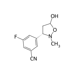 CN1OC(O)C[C@H]1c1cc(F)cc(C#N)c1